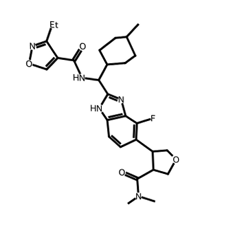 CCc1nocc1C(=O)NC(c1nc2c(F)c(C3COCC3C(=O)N(C)C)ccc2[nH]1)C1CCC(C)CC1